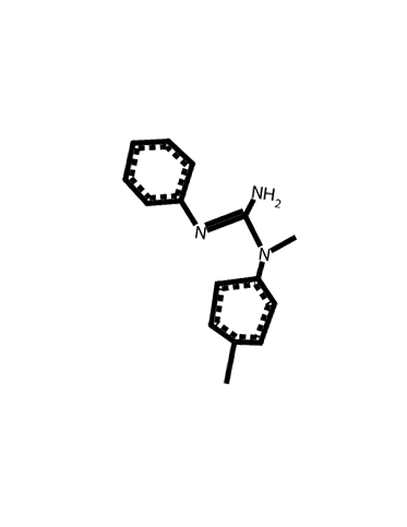 Cc1ccc(N(C)C(N)=Nc2ccccc2)cc1